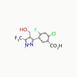 Cn1nc(-c2cc(C(=O)O)c(Cl)cc2F)c(CO)c1C(F)(F)F